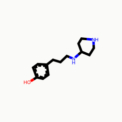 Oc1ccc(CCCNC2CCNCC2)cc1